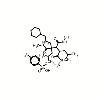 CC(C)C[C@@H](C(=O)NN)C(C(=O)NO)C(CCCC1CCCCC1)(CC(C)C)C(=O)[C@@H](C)N.Cc1ccc(S(=O)(=O)O)cc1